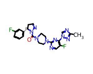 Cc1ncn(-c2nc(N3CCN(C(=O)N4N=CC[C@H]4c4cccc(F)c4)CC3)ncc2F)n1